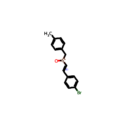 Cc1ccc(C[S+]([O-])/C=C/c2ccc(Br)cc2)cc1